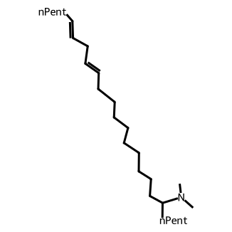 CCCCC/C=C/C/C=C/CCCCCCCCCC(CCCCC)N(C)C